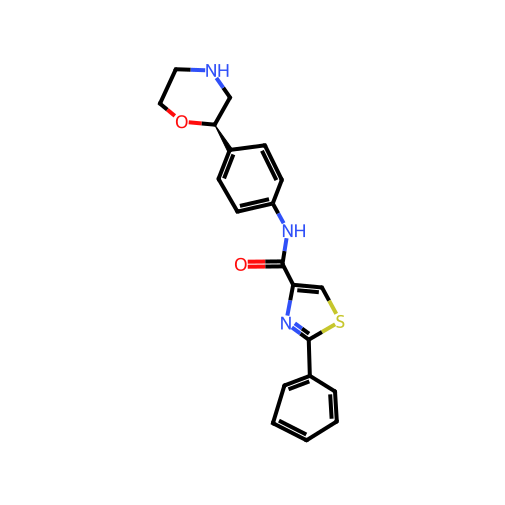 O=C(Nc1ccc([C@@H]2CNCCO2)cc1)c1csc(-c2ccccc2)n1